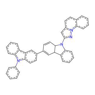 C1=CC2C(C=C1c1ccc3c(c1)c1ccccc1n3-c1ccccc1)c1ccccc1N2c1cc2ccc3ccccc3n2n1